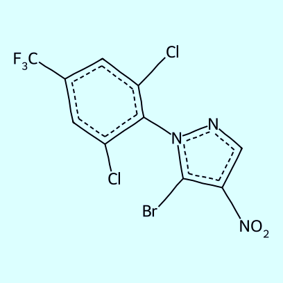 O=[N+]([O-])c1cnn(-c2c(Cl)cc(C(F)(F)F)cc2Cl)c1Br